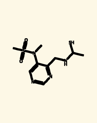 CC(S)NCc1ncncc1N(C)S(C)(=O)=O